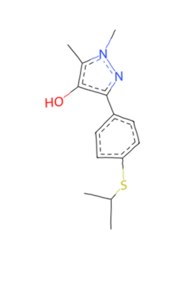 Cc1c(O)c(-c2ccc(SC(C)C)cc2)nn1C